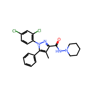 Cc1c(C(=O)NN2CCCCC2)nn(-c2ccc(Cl)cc2Cl)c1-c1ccccc1